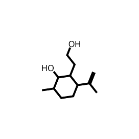 C=C(C)C1CCC(C)C(O)C1CCO